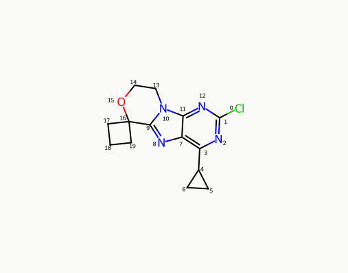 Clc1nc(C2CC2)c2nc3n(c2n1)CCOC31CCC1